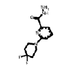 NNC(=O)c1cccc(N2CCC(F)(F)CC2)n1